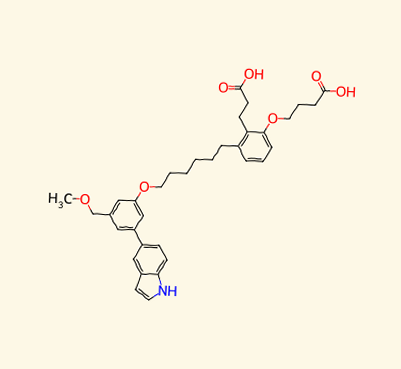 COCc1cc(OCCCCCCc2cccc(OCCCC(=O)O)c2CCC(=O)O)cc(-c2ccc3[nH]ccc3c2)c1